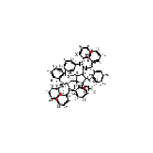 CC1C(N(P(c2ccccc2)c2ccccc2)P(c2ccccc2)c2ccccc2)C(C)C(C)(CN(P(c2ccccc2)c2ccccc2)P(c2ccccc2)c2ccccc2)C1C